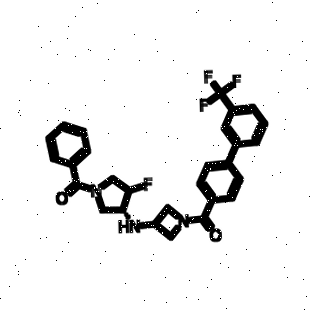 O=C(c1ccc(-c2cccc(C(F)(F)F)c2)cc1)N1CC(N[C@@H]2CN(C(=O)c3ccccc3)CC2F)C1